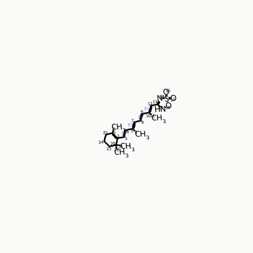 CC1=C(/C=C/C(C)=C/C=C/C(C)=C/C2=NS(=O)(=O)ON2)C(C)(C)CCC1